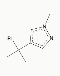 CC(C)C(C)(C)c1cnn(C)c1